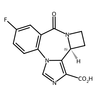 O=C(O)c1ncn2c1[C@@H]1CCN1C(=O)c1cc(F)ccc1-2